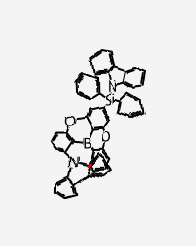 c1ccc([Si](c2ccccc2)(c2cc3c4c(c2)Oc2cccc(-n5c6ccccc6c6ccccc65)c2B4c2ccccc2O3)n2c3ccccc3c3ccccc32)cc1